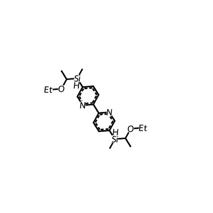 CCOC(C)[SiH](C)c1ccc(-c2ccc([SiH](C)C(C)OCC)cn2)nc1